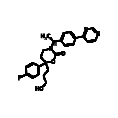 C[C@@H](c1ccc(-c2ccncn2)cc1)N1CCC(CCCO)(c2ccc(F)cc2)OC1=O